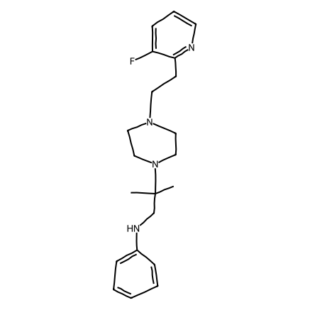 CC(C)(CNc1ccccc1)N1CCN(CCc2ncccc2F)CC1